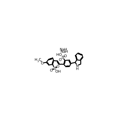 COc1ccc(C=Cc2ccc(C3NCc4ccccc43)cc2S(=O)(=O)O)c(S(=O)(=O)O)c1.[NaH].[NaH]